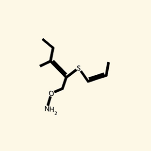 C/C=C\S/C(CON)=C(/C)CC